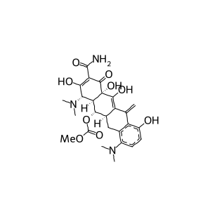 C=C1C2=C(O)[C@]3(O)C(=O)C(C(N)=O)=C(O)[C@@H](N(C)C)[C@@H]3[C@@H](OC(=O)OC)[C@@H]2Cc2c(N(C)C)ccc(O)c21